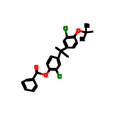 CCC(C)(CC)Oc1ccc(C(C)(C)c2ccc(OC(=O)c3ccccc3)c(Cl)c2)cc1Cl